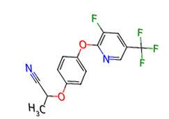 CC(C#N)Oc1ccc(Oc2ncc(C(F)(F)F)cc2F)cc1